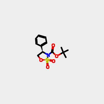 CC(C)(C)OC(=O)N1[C@@H](c2ccccc2)COS1(=O)=O